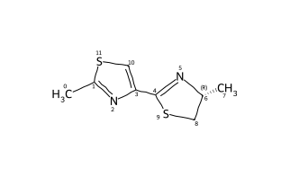 Cc1nc(C2=N[C@H](C)CS2)cs1